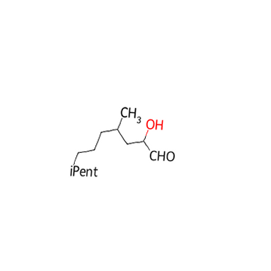 CCCC(C)CCCC(C)CC(O)C=O